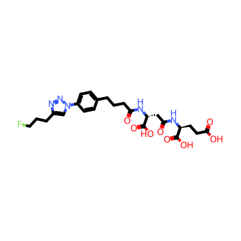 O=C(O)CC[C@H](NC(=O)C[C@@H](NC(=O)CCCc1ccc(-n2cc(CCCF)nn2)cc1)C(=O)O)C(=O)O